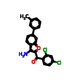 Cc1cccc(-c2ccc3c(N)c(C(=O)c4ccc(Cl)cc4Cl)oc3c2)c1